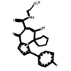 CCOC(=O)CNC(=O)C1=C(O)C2(CCCC2)n2c(ccc2-c2ccc(F)cc2)C1=O